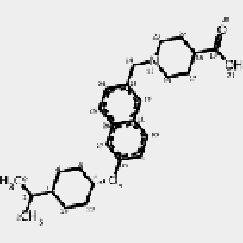 CC(C)[C@H]1CC[C@H](Oc2ccc3cc(CN4CCC(C(=O)O)CC4)ccc3c2)CC1